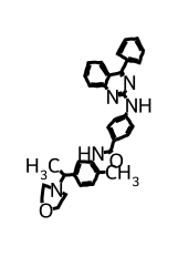 Cc1ccc(C(C)N2CCOCC2)cc1NC(=O)c1ccc(Nc2nc(-c3ccccc3)c3ccccc3n2)cc1